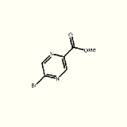 COC(=O)c1cnc(Br)cn1